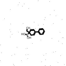 CCC1(B(O)O)C=CC(c2ccccc2)=CC1